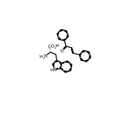 N[C@@H](Cc1c[nH]c2ccccc12)C(=O)O.O=C(/C=C/c1ccccc1)c1ccccc1